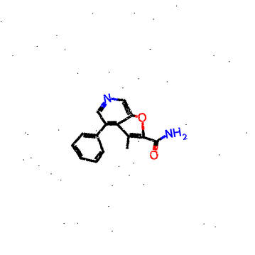 Cc1c(C(N)=O)oc2cncc(-c3ccccc3)c12